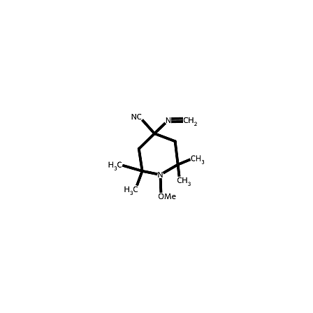 C=NC1(C#N)CC(C)(C)N(OC)C(C)(C)C1